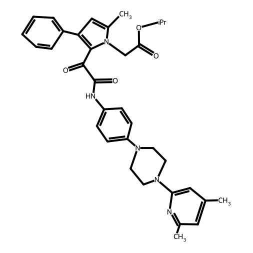 Cc1cc(C)nc(N2CCN(c3ccc(NC(=O)C(=O)c4c(-c5ccccc5)cc(C)n4CC(=O)OC(C)C)cc3)CC2)c1